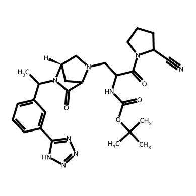 CC(c1cccc(-c2nnn[nH]2)c1)N1C(=O)C2C[C@H]1CN2CC(NC(=O)OC(C)(C)C)C(=O)N1CCCC1C#N